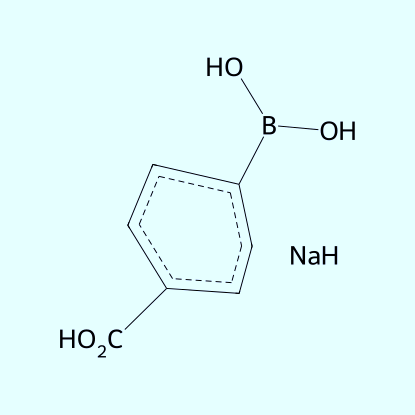 O=C(O)c1ccc(B(O)O)cc1.[NaH]